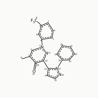 Cc1cn(-c2cccc(C(F)(F)F)c2)nc(-c2ccnn2-c2ccccc2)c1=O